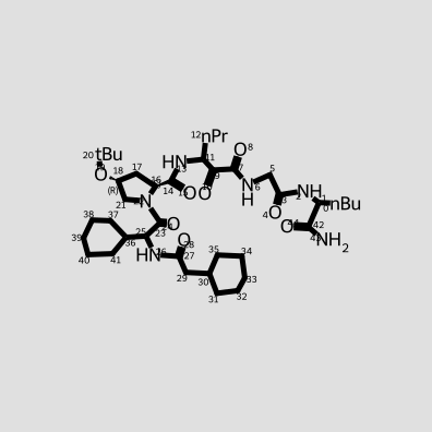 CCCCC(NC(=O)CNC(=O)C(=O)C(CCC)NC(=O)[C@@H]1C[C@@H](OC(C)(C)C)CN1C(=O)C(NC(=O)CC1CCCCC1)C1CCCCC1)C(N)=O